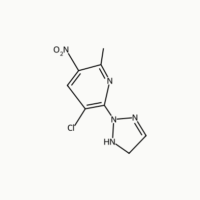 Cc1nc(N2N=CCN2)c(Cl)cc1[N+](=O)[O-]